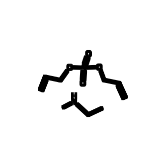 C=CCOS(=O)(=O)OCC=C.CCNC